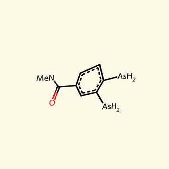 CNC(=O)c1ccc([AsH2])c([AsH2])c1